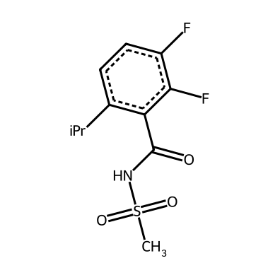 CC(C)c1ccc(F)c(F)c1C(=O)NS(C)(=O)=O